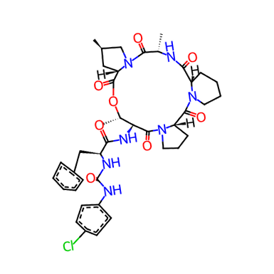 C[C@@H]1C[C@H]2C(=O)O[C@@H](C)[C@H](NC(=O)[C@H](Cc3ccccc3)NC(=O)Nc3ccc(Cl)cc3)C(=O)N3CCC[C@H]3C(=O)N3CCCC[C@H]3C(=O)N[C@@H](C)C(=O)N2C1